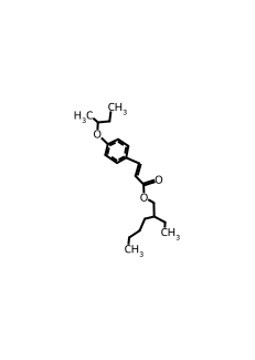 CCCCC(CC)COC(=O)C=Cc1ccc(OC(C)CC)cc1